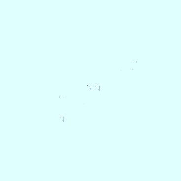 CCCCOc1cc(N2N=C3c4ccc(C(=O)OC)cc4CCC3C2C2CCCC2)ccc1C#N